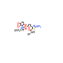 CCOC(=O)[C@H](C)NP(=O)(Oc1ccc2c(c1)OCO2)c1ccc(-c2nc(N)sc2C(=O)C(CC)CC)o1